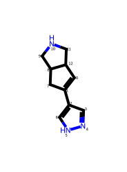 C1=C(c2cn[nH]c2)CC2CNCC12